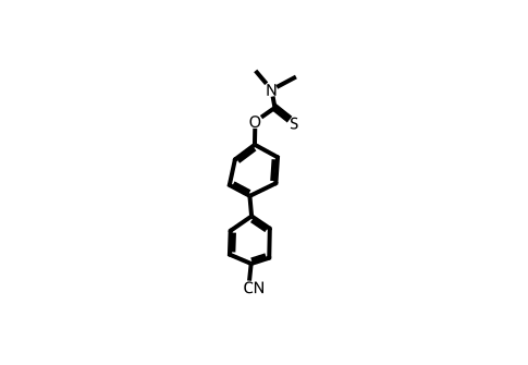 CN(C)C(=S)Oc1ccc(-c2ccc(C#N)cc2)cc1